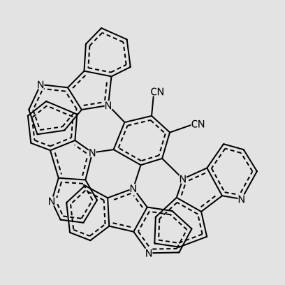 N#Cc1c(C#N)c(-n2c3ccccc3c3ncccc32)c(-n2c3ccccc3c3ncccc32)c(-n2c3ccccc3c3ncccc32)c1-n1c2ccccc2c2ncccc21